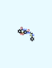 O=C(NCc1cnc(-c2ccccc2)s1)c1ccc2c(c1)NC(=O)c1ccccc1S2(=O)=O